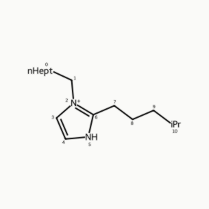 CCCCCCCC[n+]1cc[nH]c1CCCC(C)C